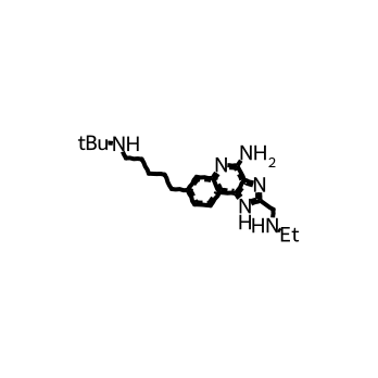 CCNCc1nc2c(N)nc3cc(CCCCCNC(C)(C)C)ccc3c2[nH]1